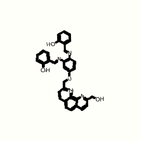 OCc1ccc2ccc3ccc(COc4ccc(/N=C/c5ccccc5O)c(/N=C/c5ccccc5O)c4)nc3c2n1